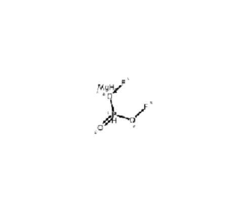 O=[PH](OF)OF.[MgH2]